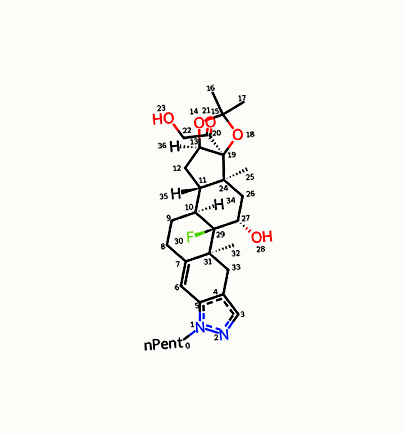 CCCCCn1ncc2c1C=C1CC[C@H]3[C@@H]4C[C@H]5OC(C)(C)O[C@@]5(C(=O)CO)[C@@]4(C)C[C@H](O)[C@]3(F)[C@@]1(C)C2